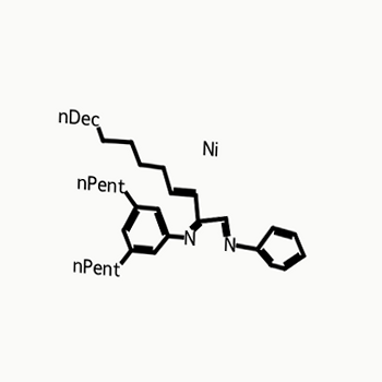 CCCCCCCCCCCCCCC=CC(C=Nc1ccccc1)=Nc1cc(CCCCC)cc(CCCCC)c1.[Ni]